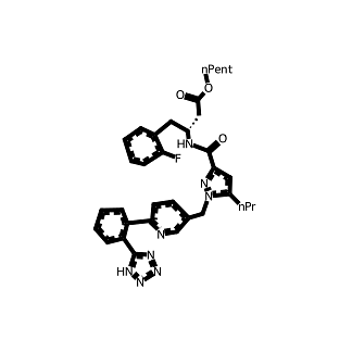 CCCCCOC(=O)C[C@@H](Cc1ccccc1F)NC(=O)c1cc(CCC)n(Cc2ccc(-c3ccccc3-c3nnn[nH]3)nc2)n1